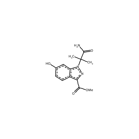 COC(=O)c1nn(C(C)(C)C(N)=O)c2cc(O)ccc12